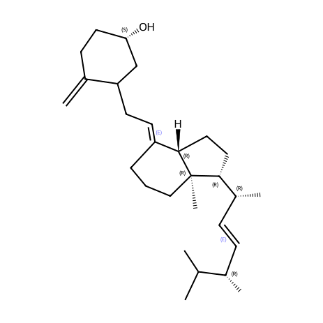 C=C1CC[C@H](O)CC1C/C=C1\CCC[C@]2(C)[C@@H]([C@H](C)/C=C/[C@H](C)C(C)C)CC[C@@H]12